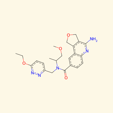 CCOc1ccc(CN(C(=O)c2ccc3nc(N)c4c(c3c2)COC4)C(C)COC)nn1